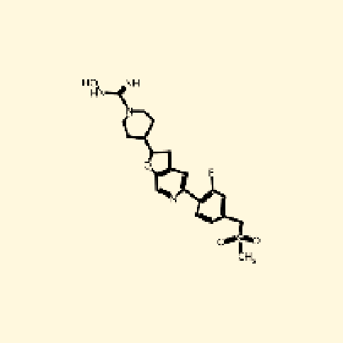 CS(=O)(=O)Cc1ccc(-c2cc3c(cn2)OC(C2CCN(C(=N)NO)CC2)C3)c(F)c1